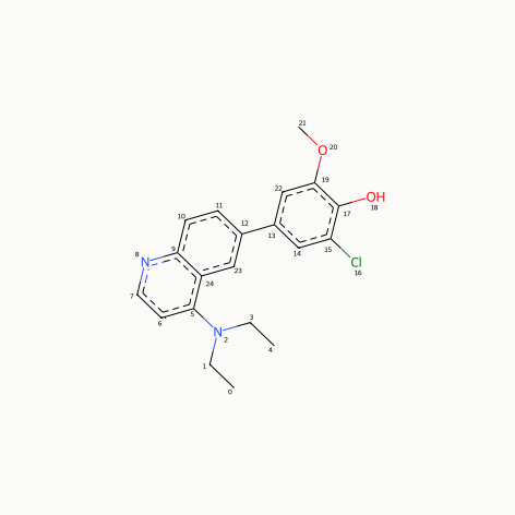 CCN(CC)c1[c]cnc2ccc(-c3cc(Cl)c(O)c(OC)c3)cc12